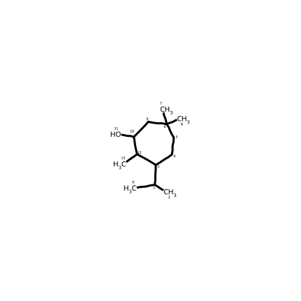 CC(C)C1CCC(C)(C)CC(O)C1C